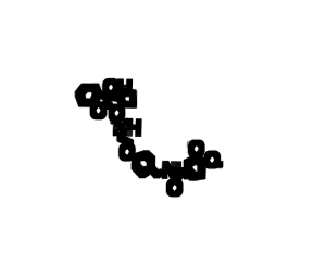 COc1ccc(C(=O)NCc2ccc(OCCNCOC(=O)C(O)(c3ccccc3)C3CCCC3)cc2)cc1OC